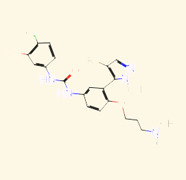 CN(C)CCCOc1ccc(NC(=O)Nc2ccc(Cl)c(O)c2)cc1-c1c(Br)cnn1C